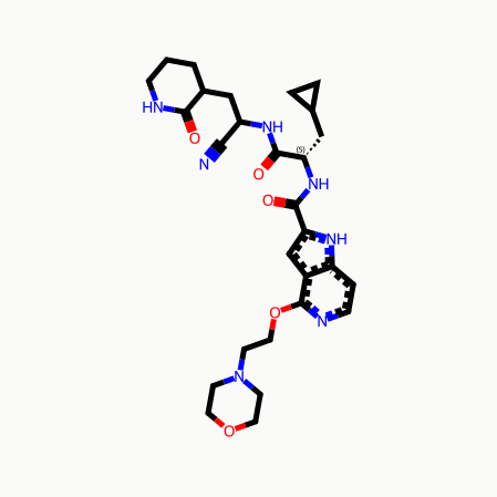 N#CC(CC1CCCNC1=O)NC(=O)[C@H](CC1CC1)NC(=O)c1cc2c(OCCN3CCOCC3)nccc2[nH]1